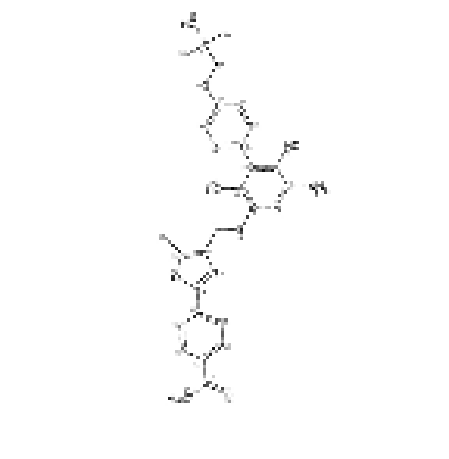 [C-]#[N+]c1c(N)nc(SCc2nc(-c3ccc(C(=O)OC)cc3)oc2C)c(C#N)c1-c1ccc(OCC(C)(C)O)cc1